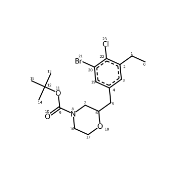 CCc1cc(CC2CN(C(=O)OC(C)(C)C)CCO2)cc(Br)c1Cl